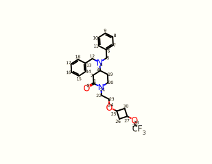 O=C1CC(N(Cc2ccccc2)Cc2ccccc2)CCN1CCOC1CC(OC(F)(F)F)C1